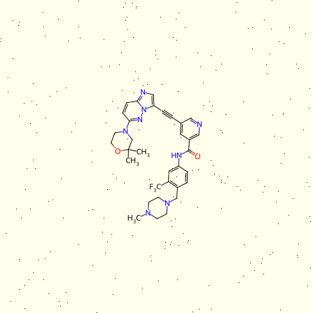 CN1CCN(Cc2ccc(NC(=O)c3cncc(C#Cc4cnc5ccc(N6CCOC(C)(C)C6)nn45)c3)cc2C(F)(F)F)CC1